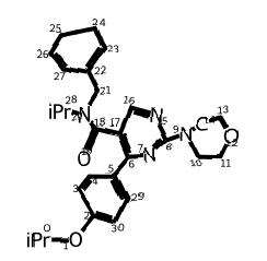 CC(C)Oc1ccc(-c2nc(N3CCOCC3)ncc2C(=O)N(CC2=CCCC=C2)C(C)C)cc1